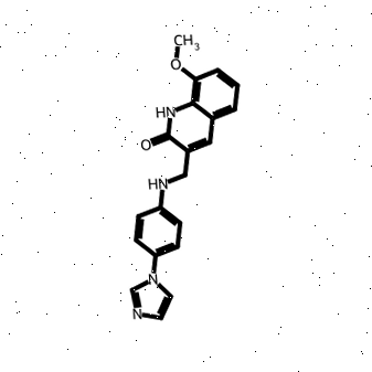 COc1cccc2cc(CNc3ccc(-n4ccnc4)cc3)c(=O)[nH]c12